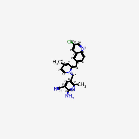 CC1=CC(Cc2ccc3ncc(Cl)cc3c2)N(Cc2cc(C#N)c(N)nc2C)C=C1